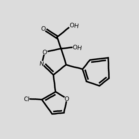 O=C(O)C1(O)ON=C(c2occc2Cl)C1c1ccccc1